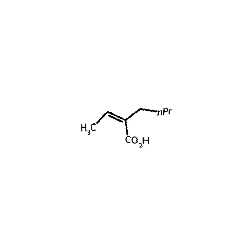 C/C=C(/CCCC)C(=O)O